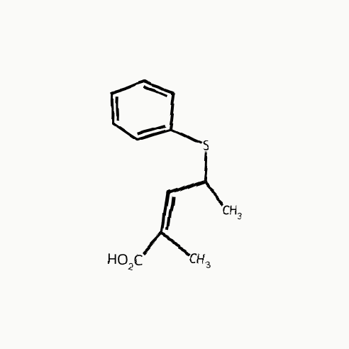 CC(=CC(C)Sc1ccccc1)C(=O)O